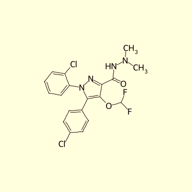 CN(C)NC(=O)c1nn(-c2ccccc2Cl)c(-c2ccc(Cl)cc2)c1OC(F)F